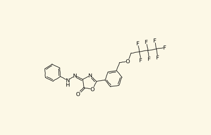 O=C1OC(c2cccc(COCC(F)(F)C(F)(F)C(F)(F)F)c2)=N/C1=N/Nc1ccccc1